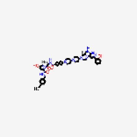 C#Cc1ccc(CNC(=O)[C@@H]2C[C@@H](O)CN2C(=O)[C@@H](NC(=O)[C@H]2CC3(C2)C[C@H](N2CCC(N4CCC(N5CCN6c7cc(-c8ccccc8O)nnc7NC[C@H]6C5)CC4)CC2)C3)C(C)(C)C)cc1